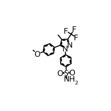 COc1ccc(-c2c(C)c(C(F)(F)F)nn2-c2ccc(S(N)(=O)=O)cc2)cc1